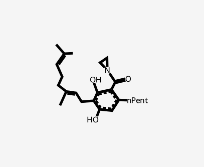 CCCCCc1cc(O)c(C/C=C(\C)CCC=C(C)C)c(O)c1C(=O)N1CC1